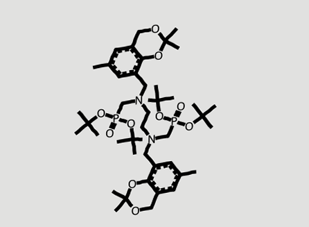 Cc1cc2c(c(CN(CCN(Cc3cc(C)cc4c3OC(C)(C)OC4)CP(=O)(OC(C)(C)C)OC(C)(C)C)CP(=O)(OC(C)(C)C)OC(C)(C)C)c1)OC(C)(C)OC2